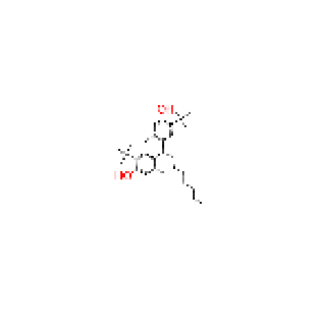 CCCCCCCCC(c1cc(C(C)(C)C)c(O)cc1C)c1cc(C(C)(C)C)c(O)cc1C